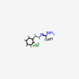 Br.NC([SeH])=NCCc1ccccc1